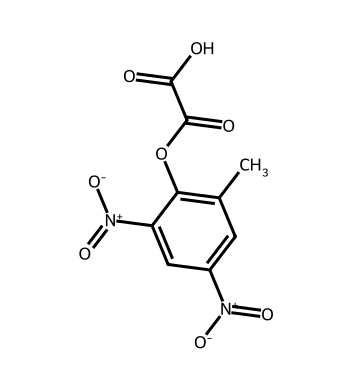 Cc1cc([N+](=O)[O-])cc([N+](=O)[O-])c1OC(=O)C(=O)O